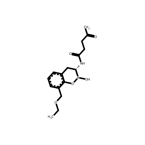 CCOCc1cccc2c1OB(O)[C@@H](NC(=O)CCC(C)=O)C2